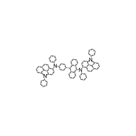 c1ccc(N(c2ccc(-c3c4ccccc4c(N(c4ccccc4)c4ccc5c6c4ccc4cccc(c46)n5-c4ccccc4)c4ccccc34)cc2)c2ccc3c4c2ccc2cccc(c24)n3-c2ccccc2)cc1